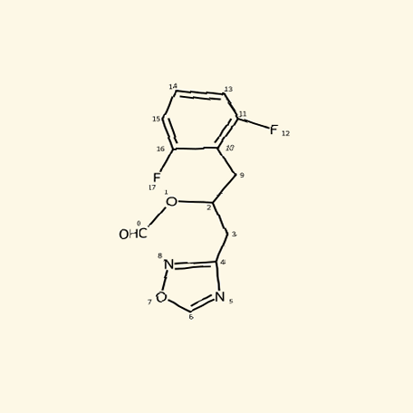 O=COC(Cc1ncon1)Cc1c(F)cccc1F